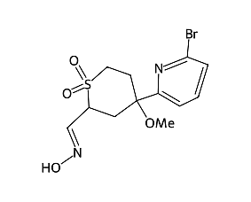 COC1(c2cccc(Br)n2)CCS(=O)(=O)C(C=NO)C1